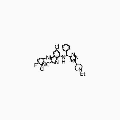 CCN1CCC(n2cc(C(Nc3cc(Cl)cc4c(Nc5ccc(F)c(Cl)c5)c(C#N)cnc34)c3ccccc3)nn2)CC1